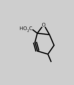 CC1C#CC2(C(=O)O)OC2C1